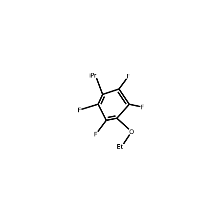 CCOc1c(F)c(F)c(C(C)C)c(F)c1F